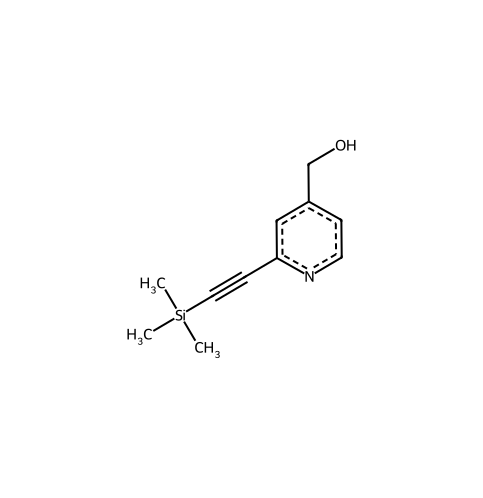 C[Si](C)(C)C#Cc1cc(CO)ccn1